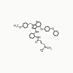 COc1ccc(Cn2nc(Nc3ccccc3NC(=O)C=CCN(C)C3CC3)c3c(Oc4ccc(Oc5ccccc5)cc4)ccnc32)cc1